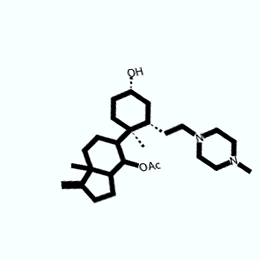 C=C1CCC2C(OC(C)=O)C([C@@]3(C)CC[C@H](O)C[C@@H]3CCN3CCN(C)CC3)CCC12C